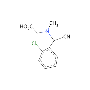 CN(CC(=O)O)C(C#N)c1ccccc1Cl